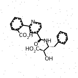 O=C(N[C@H](Cc1ccccc1)[C@@H](O)C(=O)O)c1ccnc(-c2ccccc2C(=O)O)c1